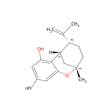 C=C(C)[C@@H]1CC[C@@]2(C)C[C@@H]1c1c(O)cc(CCC)cc1O2